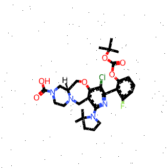 CC(C)(C)OC(=O)Oc1cccc(F)c1-c1nc(N2CCCC2(C)C)c2c(c1Cl)OC[C@H]1CN(C(=O)O)CCN1C2